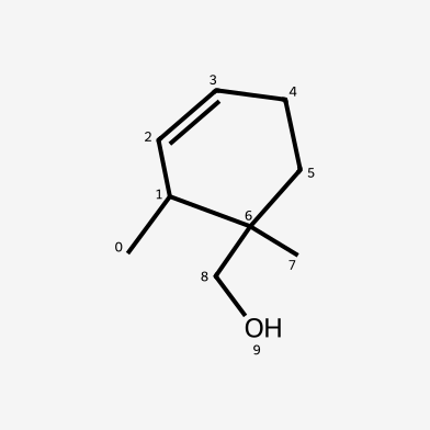 CC1C=CCCC1(C)CO